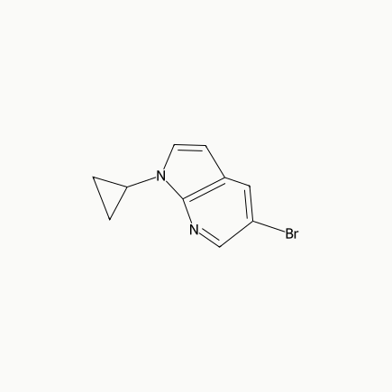 Brc1cnc2c(ccn2C2CC2)c1